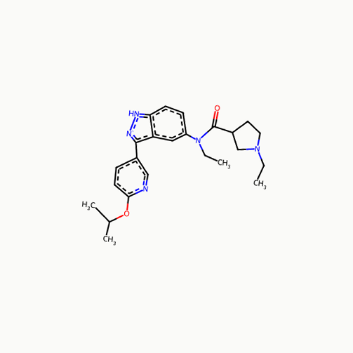 CCN1CCC(C(=O)N(CC)c2ccc3[nH]nc(-c4ccc(OC(C)C)nc4)c3c2)C1